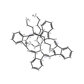 CCCC[Si](CCCC)(CCCC)O[Si]1(OC)n2c3c4ccccc4c2/N=C2N=C(/N=c4/c5ccccc5/c(n41)=N/C1=NC(=N\3)/c3ccccc31)c1ccccc1\2